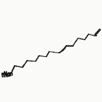 C=[C]CCCCCCCCCCCCCCCCCCCCCC